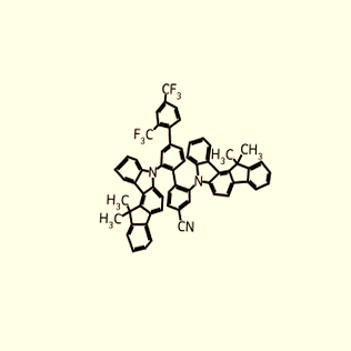 CC1(C)c2ccccc2-c2ccc3c(c21)c1ccccc1n3-c1cc(C#N)ccc1-c1ccc(-c2ccc(C(F)(F)F)cc2C(F)(F)F)cc1-n1c2ccccc2c2c3c(ccc21)-c1ccccc1C3(C)C